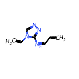 C=C/C=N\c1nncn1C=C